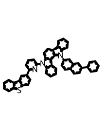 c1ccc(-c2ccc3ccc(-n4c5ccccc5c5ccc6c(c7ccccc7n6-c6cccc(-c7ccc8sc9ccccc9c8c7)n6)c54)cc3c2)cc1